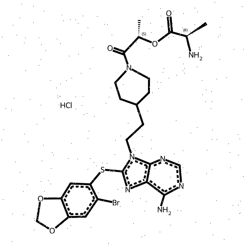 C[C@H](OC(=O)[C@@H](C)N)C(=O)N1CCC(CCn2c(Sc3cc4c(cc3Br)OCO4)nc3c(N)ncnc32)CC1.Cl